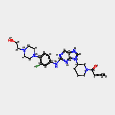 C=CC(=O)N1CCCC(n2cnc3cnc(Nc4ccc(N5CCN(CCO)CC5)c(F)c4)nc32)C1